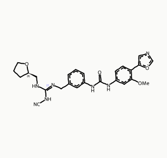 COc1cc(NC(=O)Nc2cccc(C/N=C(\NC#N)NC[C@H]3CCCO3)c2)ccc1-c1cnco1